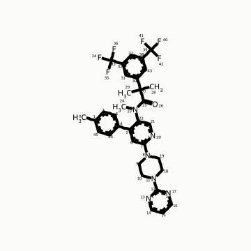 Cc1ccc(-c2cc(N3CCN(c4ncccn4)CC3)ncc2N(C)C(=O)C(C)(C)c2cc(C(F)(F)F)cc(C(F)(F)F)c2)cc1